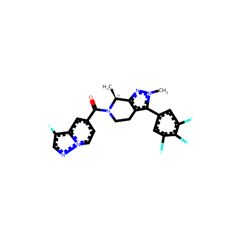 C[C@H]1c2nn(C)c(-c3cc(F)c(F)c(F)c3)c2CCN1C(=O)c1ccn2ncc(F)c2c1